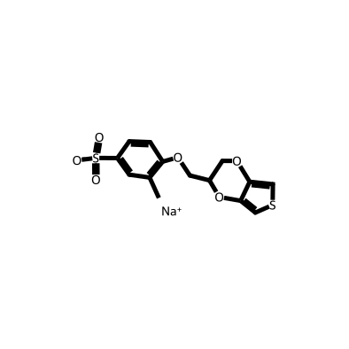 Cc1cc(S(=O)(=O)[O-])ccc1OCC1COc2cscc2O1.[Na+]